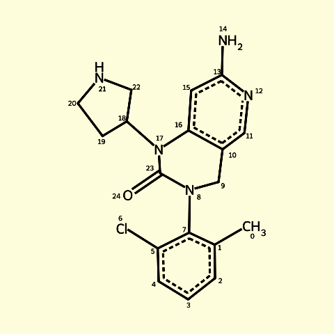 Cc1cccc(Cl)c1N1Cc2cnc(N)cc2N(C2CCNC2)C1=O